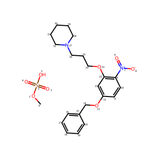 COS(=O)(=O)O.O=[N+]([O-])c1ccc(OCc2ccccc2)cc1OCCCN1CCCCC1